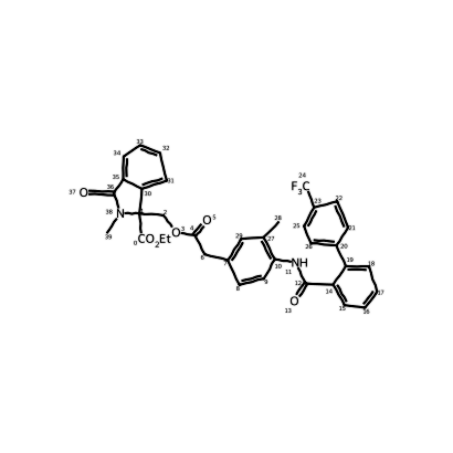 CCOC(=O)C1(COC(=O)Cc2ccc(NC(=O)c3ccccc3-c3ccc(C(F)(F)F)cc3)c(C)c2)c2ccccc2C(=O)N1C